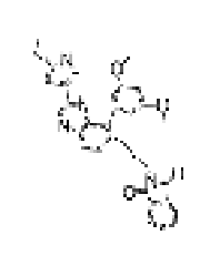 CCn1cc(-c2cnc3ccc(CCCN4C(=O)c5ccccc5C4=O)c(-c4cc(OC)cc(OC)c4)c3n2)cn1